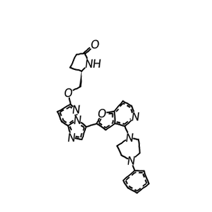 O=C1CC[C@H](COc2ccc3ncc(-c4cc5c(N6CCN(c7ccccc7)CC6)nccc5o4)n3n2)N1